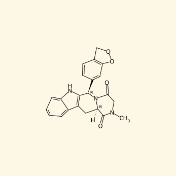 CN1CC(=O)N2[C@H](c3ccc4c(c3)OOC4)c3[nH]c4ccccc4c3C[C@@H]2C1=O